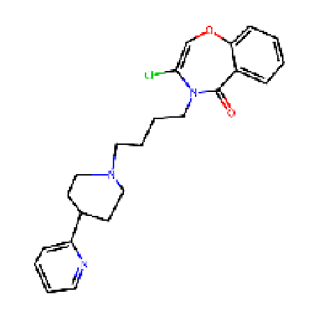 O=C1c2ccccc2OC=C(Cl)N1CCCCN1CCC(c2ccccn2)CC1